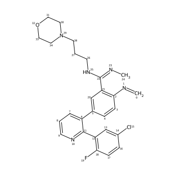 C=Nc1ccc(-c2cccnc2-c2cc(Cl)ccc2F)cc1/C(=N\C)NCCCN1CCOCC1